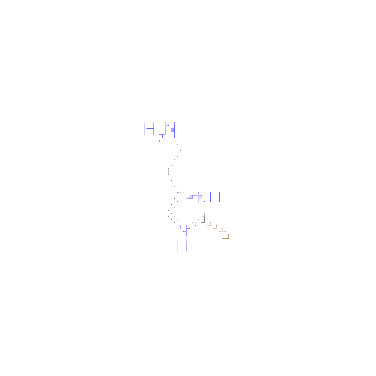 NCCc1c[nH]c(=S)[nH]1